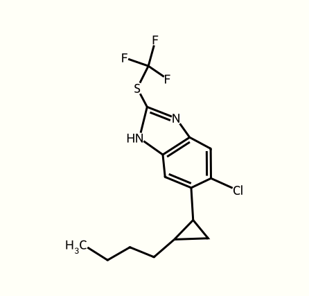 CCCCC1CC1c1cc2[nH]c(SC(F)(F)F)nc2cc1Cl